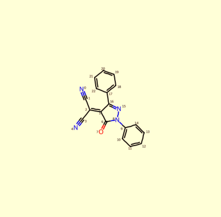 N#CC(C#N)=C1C(=O)N(c2ccccc2)N=C1c1ccccc1